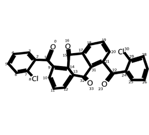 O=C(c1ccccc1Cl)c1cccc2c1C(=O)c1cccc(C(=O)c3ccccc3Cl)c1C2=O